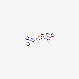 Fc1ccc(N(c2ccccc2)c2ccc(-c3ccc4c(c3)Oc3cccc5c(N(c6ccccc6)c6cccc7c6oc6ccccc67)ccc-4c35)cn2)cc1